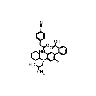 CC(C)CN(c1cc(F)c(-c2ccccc2C(=O)O)cc1NC(=O)Cc1ccc(C#N)cc1)C1CCCCC1